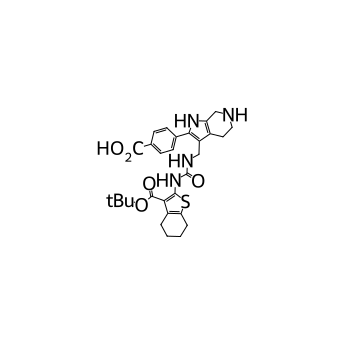 CC(C)(C)OC(=O)c1c(NC(=O)NCc2c(-c3ccc(C(=O)O)cc3)[nH]c3c2CCNC3)sc2c1CCCC2